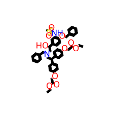 CCOC(=O)COc1ccc(C(CN(Cc2ccccc2)C[C@H](O)c2ccc(OCc3ccccc3)c(NS(C)(=O)=O)c2)c2ccc(OCC(=O)OCC)cc2)cc1